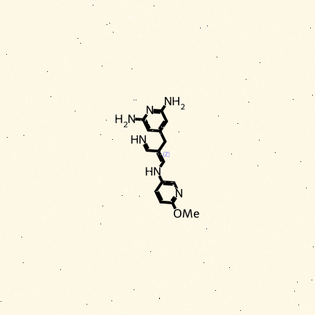 COc1ccc(N/C=C(\C=N)Cc2cc(N)nc(N)c2)cn1